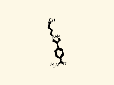 C#CCCCn1cc(-c2ccc(C(N)=O)cc2)cn1